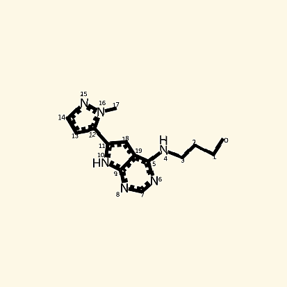 CCCCNc1ncnc2[nH]c(-c3ccnn3C)cc12